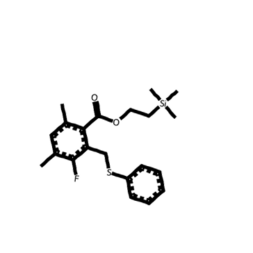 Cc1cc(C)c(C(=O)OCC[Si](C)(C)C)c(CSc2ccccc2)c1F